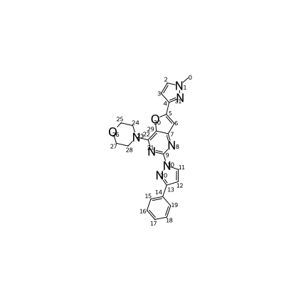 Cn1ccc(-c2cc3nc(-n4ccc(-c5ccccc5)n4)nc(N4CCOCC4)c3o2)n1